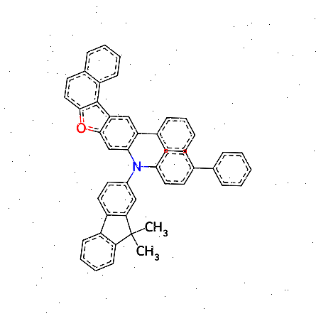 CC1(C)c2ccccc2-c2ccc(N(c3ccc(-c4ccccc4)cc3)c3cc4oc5ccc6ccccc6c5c4cc3-c3ccccc3)cc21